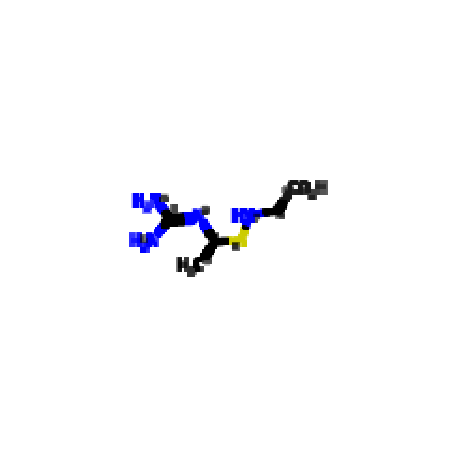 CC(N=C(N)N)SNCC(=O)O